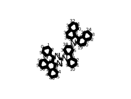 c1ccc(-c2nc(-n3c4ccccc4c4cc(-n5c6ccc7ccccc7c6c6c7ccccc7ccc65)ccc43)nc3c4ccccc4c4ccccc4c23)cc1